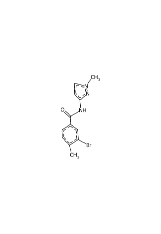 Cc1ccc(C(=O)Nc2ccn(C)n2)cc1Br